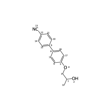 CC(O)COc1ccc(-c2ccc(C#N)cc2)cc1